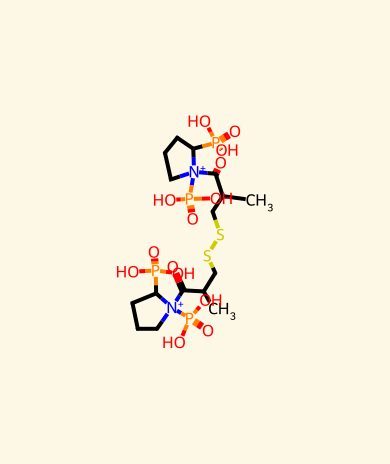 CC(CSSCC(C)C(=O)[N+]1(P(=O)(O)O)CCCC1P(=O)(O)O)C(=O)[N+]1(P(=O)(O)O)CCCC1P(=O)(O)O